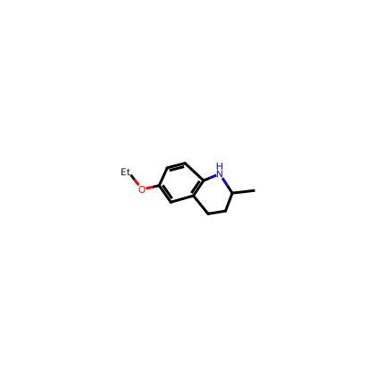 CCOc1ccc2c(c1)CCC(C)N2